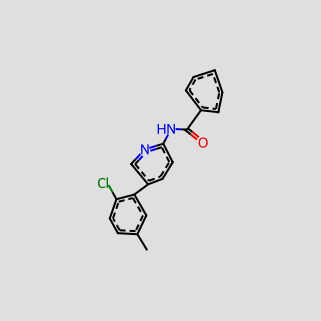 Cc1ccc(Cl)c(-c2ccc(NC(=O)c3ccccc3)nc2)c1